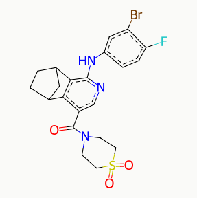 O=C(c1cnc(Nc2ccc(F)c(Br)c2)c2c1C1CCC2C1)N1CCS(=O)(=O)CC1